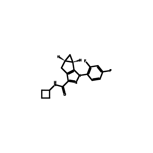 O=C(NC1CCC1)c1nn(-c2ccc(F)cc2F)c2c1C[C@H]1C[C@@H]21